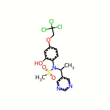 CC(c1cncnc1)N(c1ccc(OCC(Cl)(Cl)Cl)cc1O)S(C)(=O)=O